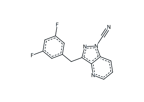 N#Cn1nc(Cc2cc(F)cc(F)c2)c2ncccc21